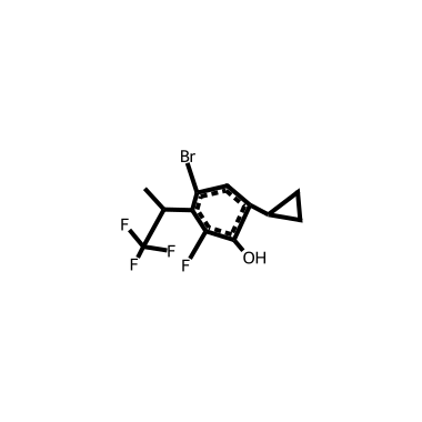 CC(c1c(Br)cc(C2CC2)c(O)c1F)C(F)(F)F